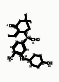 C/C=C1\C(=O)CC(C)(C)CC1N(C=O)c1ccc(C#N)c(NC2CCC(O)CC2)c1